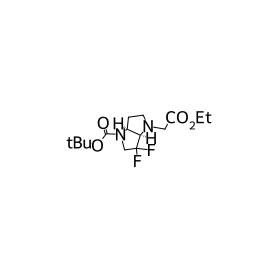 CCOC(=O)CN1CC[C@H]2[C@@H]1C(F)(F)CN2C(=O)OC(C)(C)C